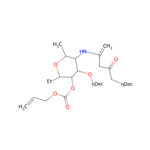 C=CCOC(=O)OC1C(CC)OC(C)C(NC(=C)CC(=O)CCCCCCCCCCC)C1OCCCCCCCCCC